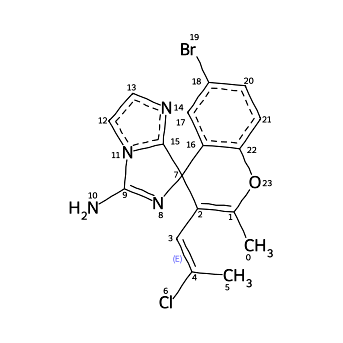 CC1=C(/C=C(\C)Cl)C2(N=C(N)n3ccnc32)c2cc(Br)ccc2O1